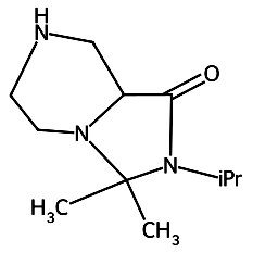 CC(C)N1C(=O)C2CNCCN2C1(C)C